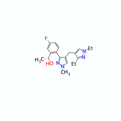 CCc1nn(CC)cc1Cc1cn(C)nc1-c1ccc(F)cc1[C@@H](C)O